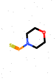 S=PN1CCOCC1